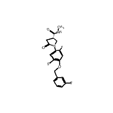 CNC(=O)[C@H]1CC(=O)N(c2cc(F)c(OCc3cccc(F)c3)cc2F)C1